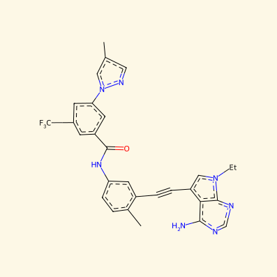 CCn1cc(C#Cc2cc(NC(=O)c3cc(-n4cc(C)cn4)cc(C(F)(F)F)c3)ccc2C)c2c(N)ncnc21